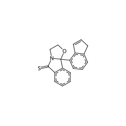 S=C1c2ccccc2C2(c3cccc4c3C=CC4)OCCN12